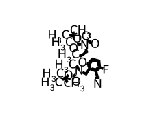 CCN(Cc1c(OC(C)CN(C(=O)O)C(=O)OC(C)(C)C)ccc(F)c1C#N)C(=O)OC(C)(C)C